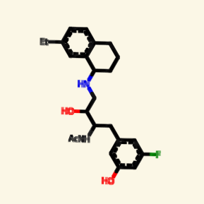 CCc1ccc2c(c1)C(NCC(O)C(Cc1cc(O)cc(F)c1)NC(C)=O)CCC2